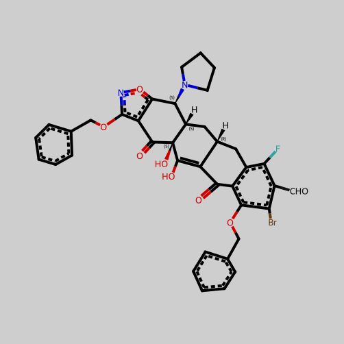 O=Cc1c(F)c2c(c(OCc3ccccc3)c1Br)C(=O)C1=C(O)[C@]3(O)C(=O)c4c(OCc5ccccc5)noc4[C@@H](N4CCCC4)[C@@H]3C[C@@H]1C2